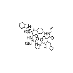 C=CCNC(=O)C(=O)C(CC1CCC1)NC(=O)[C@@H]1CCCN1C(=O)[C@@H](NC(=O)N[C@H](CN1Cc2ccccc2S1(=O)=O)C1CCCCC1)C(C)(C)C